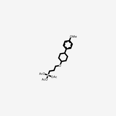 COc1ccc(C2CCC(OCCC[Si](OC(C)=O)(OC(C)=O)OC(C)=O)CC2)cc1